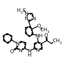 CCC(=O)c1cnc(Nc2ccn(-c3ccccc3)c(=O)n2)cc1Nc1cccc(-c2ncn(C)n2)c1OC